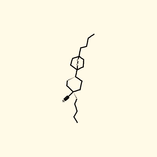 CCCCC[C@]1(C#N)CC[C@H](C23CCC(CCCC)(CC2)CC3)CC1